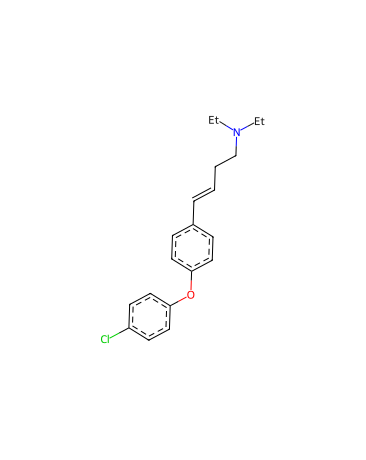 CCN(CC)CCC=Cc1ccc(Oc2ccc(Cl)cc2)cc1